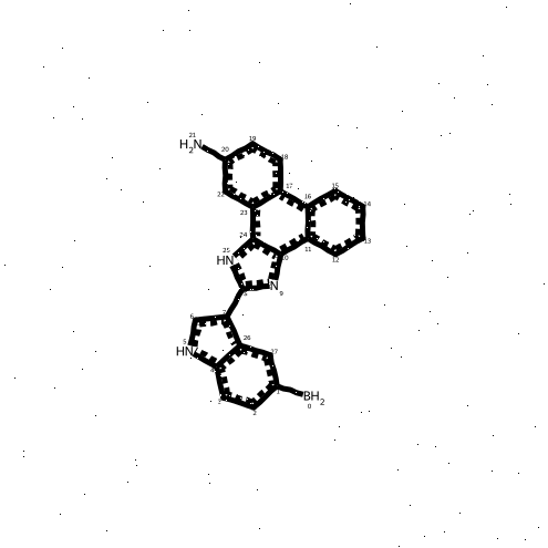 Bc1ccc2[nH]cc(-c3nc4c5ccccc5c5ccc(N)cc5c4[nH]3)c2c1